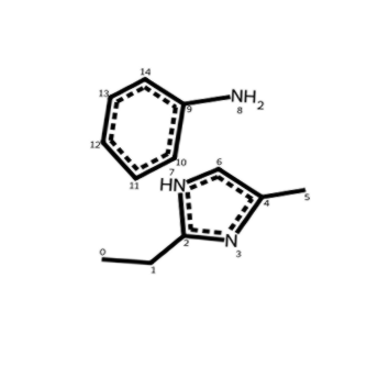 CCc1nc(C)c[nH]1.Nc1ccccc1